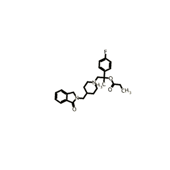 CCC(=O)OC(C)(CN1CCC(CN2Cc3ccccc3C2=O)CC1)c1ccc(F)cc1